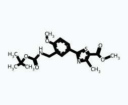 COC(=O)c1sc(-c2ccc(OC)c(CNC(=O)OC(C)(C)C)c2)nc1C